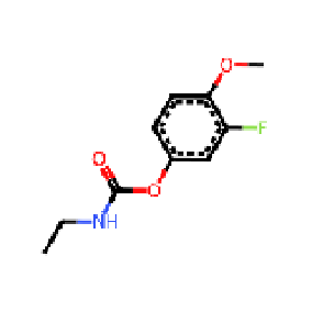 CCNC(=O)Oc1ccc(OC)c(F)c1